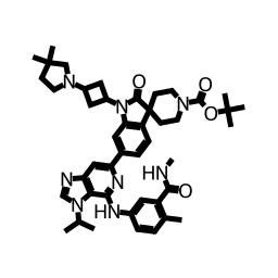 CNC(=O)c1cc(Nc2nc(-c3ccc4c(c3)N(C3CC(N5CCC(C)(C)C5)C3)C(=O)C43CCN(C(=O)OC(C)(C)C)CC3)cc3ncn(C(C)C)c23)ccc1C